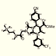 COC(=O)C1=C(C)N(c2cccc(C(F)(F)F)c2)c2nn(CC(=O)N(C)CC[N+](C)(C)C)c(=O)n2C1c1ccc(C#N)cc1